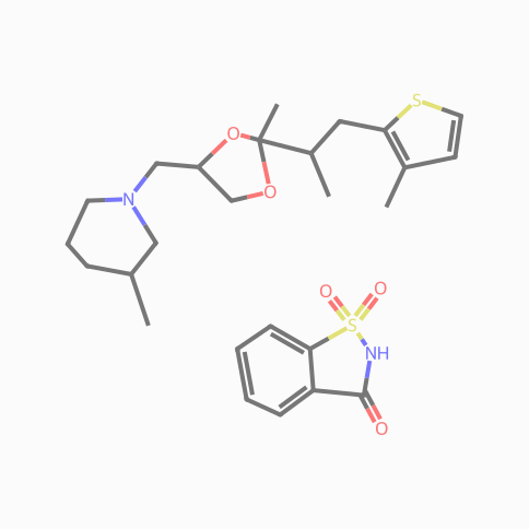 Cc1ccsc1CC(C)C1(C)OCC(CN2CCCC(C)C2)O1.O=C1NS(=O)(=O)c2ccccc21